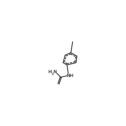 C=C(N)Nc1ccc(C)cc1